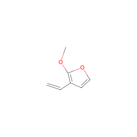 C=Cc1ccoc1OC